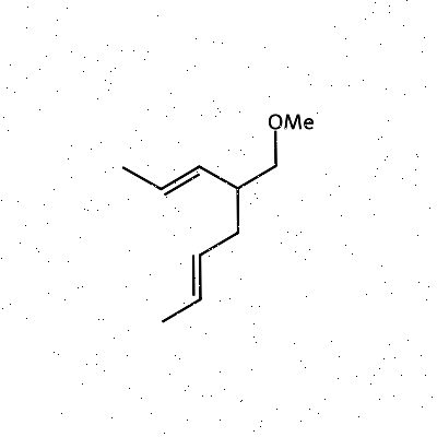 CC=CCC(C=CC)COC